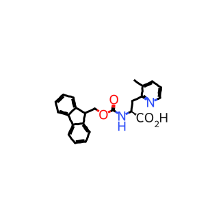 Cc1cccnc1C[C@H](NC(=O)OCC1c2ccccc2-c2ccccc21)C(=O)O